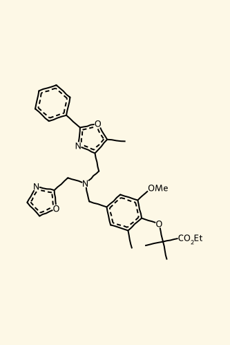 CCOC(=O)C(C)(C)Oc1c(C)cc(CN(Cc2ncco2)Cc2nc(-c3ccccc3)oc2C)cc1OC